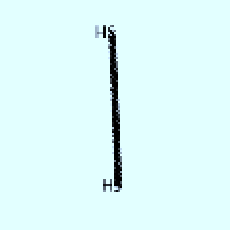 SSSSSSSSSSSSSSSSSSSSSSSSSSSSSSSSSSSSSSSSSSSSSSSSSSSSSSSSSSS